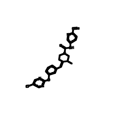 COc1ccc(NC(=O)N2CCC(=Cc3cccc(Oc4ncc(Cl)cn4)c3)C(C)C2)cn1